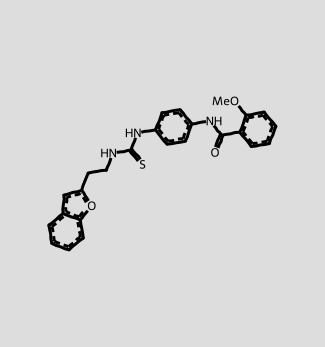 COc1ccccc1C(=O)Nc1ccc(NC(=S)NCCc2cc3ccccc3o2)cc1